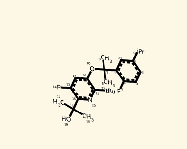 CC(C)c1ccc(F)c(C(C)(C)Oc2cc(F)c(C(C)(C)O)nc2C(C)(C)C)c1